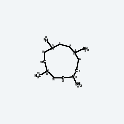 [2H]N1CCN(B)CCN(B)CCN(C)CC1